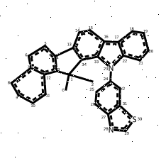 CC1(C)c2c(ccc3ccccc23)-c2ccc3c4ccccc4n(-c4ccc5ncsc5c4)c3c21